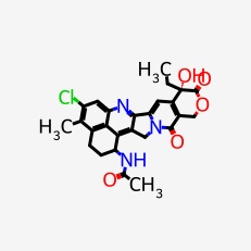 CC[C@@]1(O)C(=O)OCc2c1cc1n(c2=O)Cc2c-1nc1cc(Cl)c(C)c3c1c2C(NC(C)=O)CC3